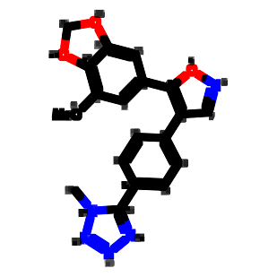 COc1cc(-c2oncc2-c2ccc(-c3nnnn3C)cc2)cc2c1OCO2